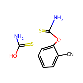 N#Cc1ccccc1OC(N)=S.NC(O)=S